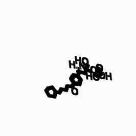 NC(CO)(CCc1ccc(C(=O)CCCCC2CCCCC2)cc1)COP(=O)(O)O